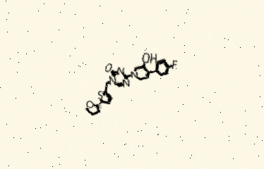 O=c1nc(N2CC=C(c3ccc(F)cc3)C(O)C2)ncn1Cc1ccc([C@H]2CCCO2)s1